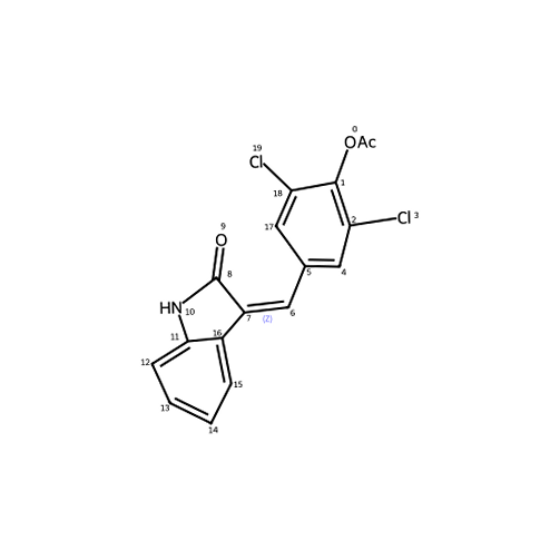 CC(=O)Oc1c(Cl)cc(/C=C2\C(=O)Nc3ccccc32)cc1Cl